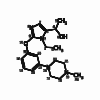 CCn1c(C(C)O)cnc1Oc1cccc(N2CCN(C)CC2)c1